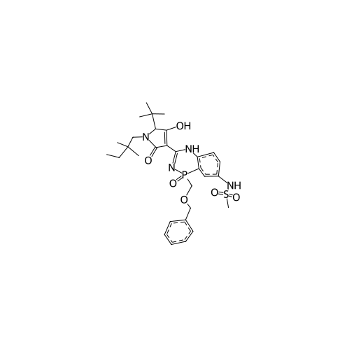 CCC(C)(C)CN1C(=O)C(C2=NP(=O)(COCc3ccccc3)c3cc(NS(C)(=O)=O)ccc3N2)=C(O)C1C(C)(C)C